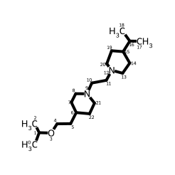 CC(C)OCCC1CCN(CCN2CCC(C(C)C)CC2)CC1